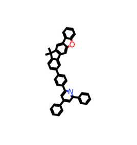 CC1(C)c2ccc(-c3ccc(-c4cc(-c5ccccc5)cc(-c5ccccc5)n4)cc3)cc2-c2cc3oc4ccccc4c3cc21